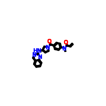 C=CC(=O)N(C)c1ccc(C(=O)N2CC[C@@H](Nc3ncc4ccccc4n3)C2)cc1